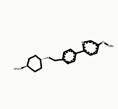 CCCCCC[C@H]1CC[C@H](CCc2ccc(-c3ccc(OCCCC)cn3)cc2)CC1